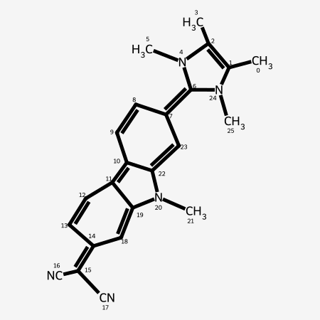 CC1=C(C)N(C)C(=c2ccc3c4ccc(=C(C#N)C#N)cc4n(C)c3c2)N1C